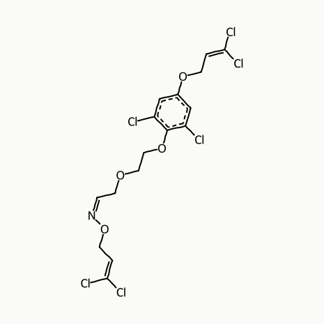 ClC(Cl)=CCO/N=C\COCCOc1c(Cl)cc(OCC=C(Cl)Cl)cc1Cl